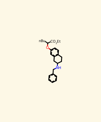 CCCCC(Oc1ccc2c(c1)CC(NCc1ccccc1)CC2)C(=O)OCC